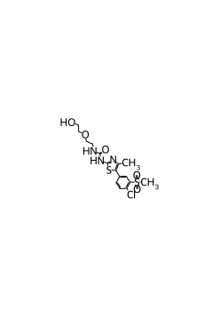 Cc1nc(NC(=O)NCCOCCO)sc1-c1ccc(Cl)c(S(C)(=O)=O)c1